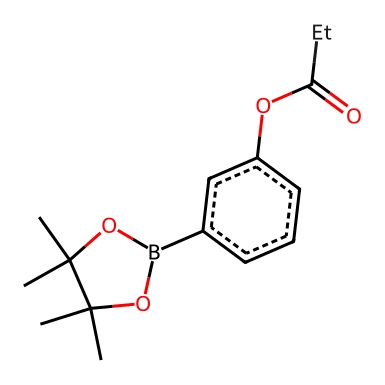 CCC(=O)Oc1cccc(B2OC(C)(C)C(C)(C)O2)c1